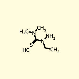 CCN(N)C(=S)N(C)C.Cl